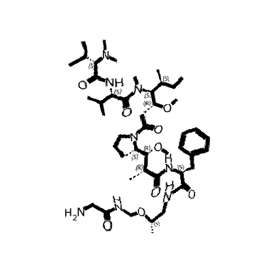 CC[C@H](C)[C@@H]([C@@H](CC(=O)N1CCC[C@H]1[C@H](OC)[C@@H](C)C(=O)N[C@@H](Cc1ccccc1)C(=O)NC[C@H](C)OCNC(=O)CN)OC)N(C)C(=O)[C@@H](NC(=O)[C@H](C(C)C)N(C)C)C(C)C